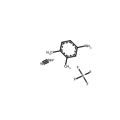 Cc1ccc(N)cc1C.F[B-](F)(F)F.N#[NH+]